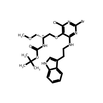 COC[C@H](COc1c(Cl)nc(Br)nc1NCCc1c[nH]c2ccccc12)NC(=O)OC(C)(C)C